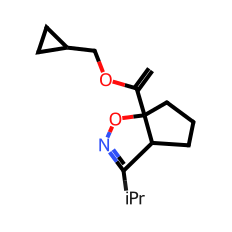 C=C(OCC1CC1)C12CCCC1C(C(C)C)=NO2